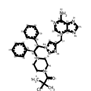 CC(C)(Cl)C(=O)N1CCN([C@@H](c2ccccc2)[C@@H](c2ccccc2)n2cc(Cn3cnc(N)c4ncnc3-4)nn2)CC1